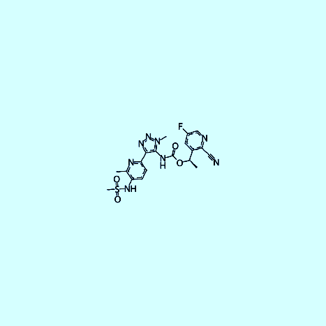 Cc1nc(-c2nnn(C)c2NC(=O)O[C@H](C)c2cc(F)cnc2C#N)ccc1NS(C)(=O)=O